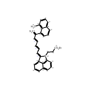 C=C(/C=C/C=C/C=c1/c2cccc3cccc(c32)n1CCC(=O)OCC)c1cccc2cccc(C)c12